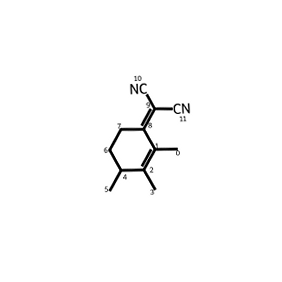 CC1=C(C)C(C)CCC1=C(C#N)C#N